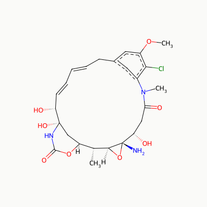 COc1cc2cc(c1Cl)N(C)C(=O)C[C@H](O)[C@]1(N)O[C@H]1[C@H](C)[C@@H]1C[C@@](O)(NC(=O)O1)[C@H](O)/C=C/C=C/C2